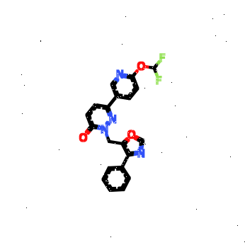 O=c1ccc(-c2ccc(OC(F)F)nc2)nn1Cc1ocnc1-c1ccccc1